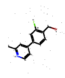 Cc1cc(-c2ccc(CBr)c(F)c2)ccn1